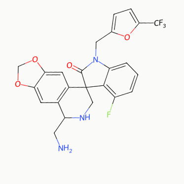 NCC1NCC2(C(=O)N(Cc3ccc(C(F)(F)F)o3)c3cccc(F)c32)c2cc3c(cc21)OCO3